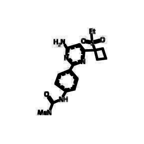 CCS(=O)(=O)C1(c2cc(N)nc(-c3ccc(NC(=O)NC)cc3)n2)CCC1